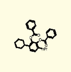 CCCc1ccc(C2CCCCC2)c(OC(=O)c2ccccc2)c1OC(=O)c1ccccc1